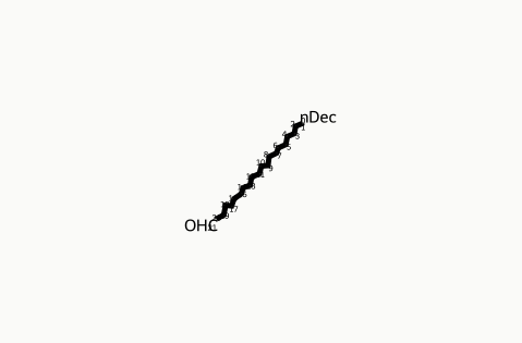 CCCCCCCCCCCCCCCCCCCCCCCCCCCCCCC=O